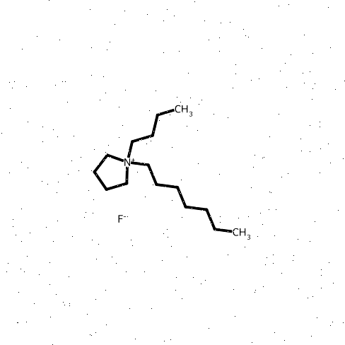 CCCCCCC[N+]1(CCCC)CCCC1.[F-]